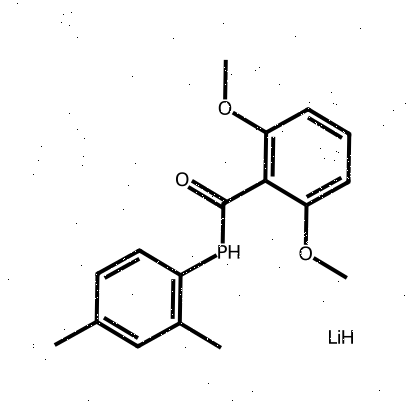 COc1cccc(OC)c1C(=O)Pc1ccc(C)cc1C.[LiH]